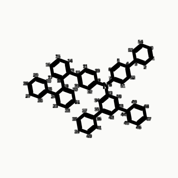 c1ccc(-c2ccc(N(c3ccc(-c4ccccc4-c4ccccc4-c4ccccc4)cc3)c3cc(-c4ccccc4)cc(-c4ccccc4)c3)cc2)cc1